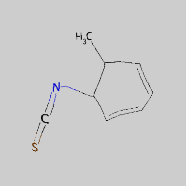 CC1C=CC=CC1N=C=S